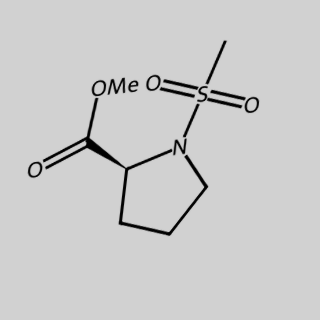 COC(=O)[C@@H]1CCCN1S(C)(=O)=O